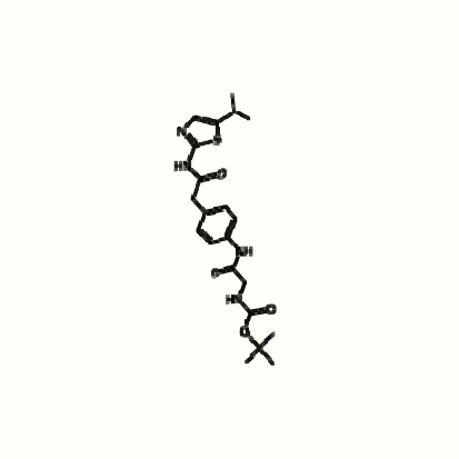 CC(C)c1cnc(NC(=O)Cc2ccc(NC(=O)CNC(=O)OC(C)(C)C)cc2)s1